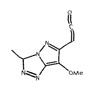 COc1c(C=C=O)nn2c1N=NC2C